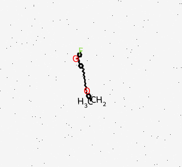 C=C(C)c1ccc(COCCCCCCCCCCCCc2ccc(C=CC(=O)c3ccc(F)cc3)cc2)cc1